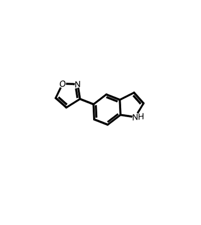 c1cc2cc(-c3ccon3)ccc2[nH]1